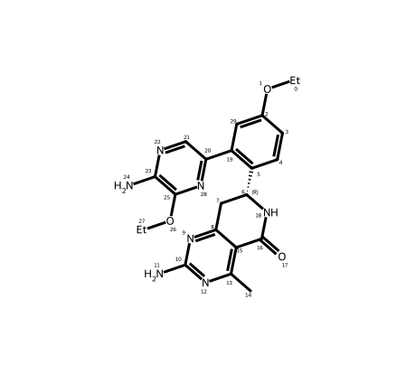 CCOc1ccc([C@H]2Cc3nc(N)nc(C)c3C(=O)N2)c(-c2cnc(N)c(OCC)n2)c1